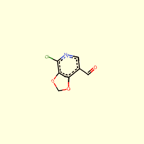 O=Cc1cnc(Cl)c2c1OCO2